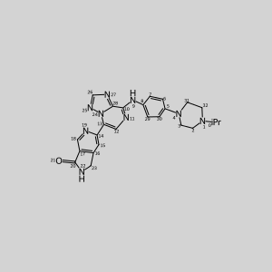 CC(C)N1CCN(c2ccc(Nc3ncc(-c4cc5c(cn4)C(=O)NC5)n4ncnc34)cc2)CC1